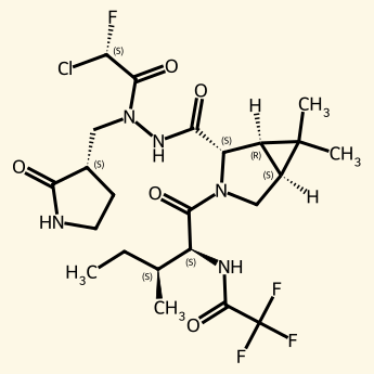 CC[C@H](C)[C@H](NC(=O)C(F)(F)F)C(=O)N1C[C@H]2[C@@H]([C@H]1C(=O)NN(C[C@@H]1CCNC1=O)C(=O)[C@@H](F)Cl)C2(C)C